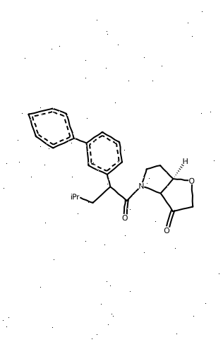 CC(C)CC(C(=O)N1CC[C@H]2OCC(=O)C21)c1cccc(-c2ccccc2)c1